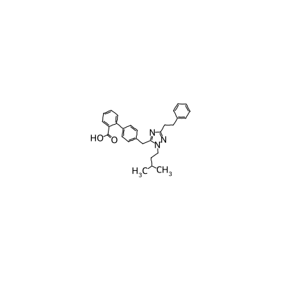 CC(C)CCn1nc(CCc2ccccc2)nc1Cc1ccc(-c2ccccc2C(=O)O)cc1